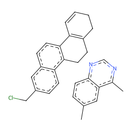 Cc1ccc2ncnc(C)c2c1.ClCc1ccc2c3c(ccc2c1)C1=C(CCC=C1)CC3